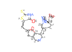 O=C1NC(=S)SC1=Cc1cc2cncc(-c3ccc(Br)nc3)c2o1